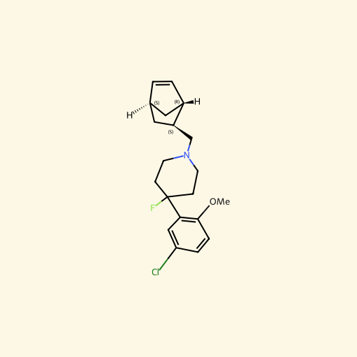 COc1ccc(Cl)cc1C1(F)CCN(C[C@H]2C[C@H]3C=C[C@H]2C3)CC1